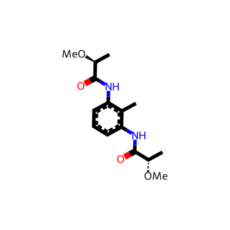 CO[C@@H](C)C(=O)Nc1cccc(NC(=O)[C@H](C)OC)c1C